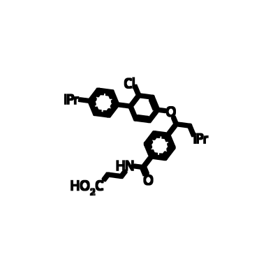 CC(C)CC(OC1=CC(Cl)C(c2ccc(C(C)C)cc2)C=C1)c1ccc(C(=O)NCCC(=O)O)cc1